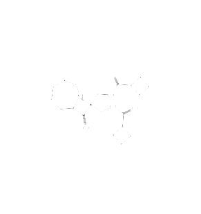 O=C(OCC1(COC(=O)C2CCC2)C(=O)C2CCCCCN21)C1CCC1